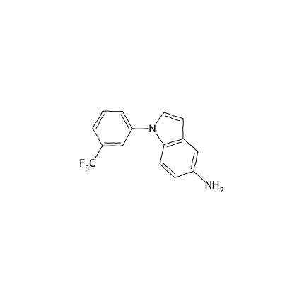 Nc1ccc2c(ccn2-c2cccc(C(F)(F)F)c2)c1